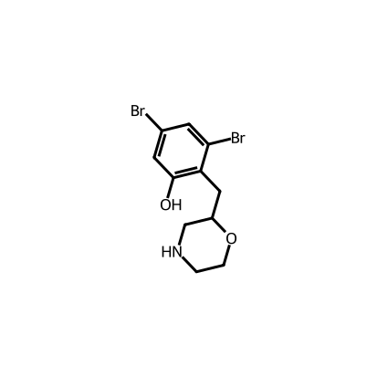 Oc1cc(Br)cc(Br)c1CC1CNCCO1